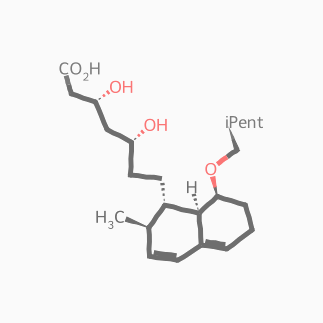 CCC[C@H](C)CO[C@H]1CCC=C2C=C[C@@H](C)[C@H](CC[C@@H](O)C[C@@H](O)CC(=O)O)[C@H]21